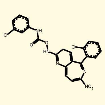 O=C(Nc1cccc(Cl)c1)ONC1=NC2=CC=C([N+](=O)[O-])N=C(c3ccccc3Cl)C2=CC1